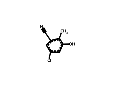 Cc1c(O)cc(Cl)cc1C#N